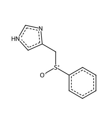 [O-][S+](Cc1c[nH]cn1)c1ccccc1